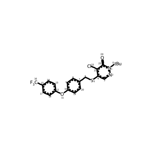 CC(C)(C)n1ncc(SCc2ccc(Oc3ccc(C(F)(F)F)cc3)cc2)c(Cl)c1=O